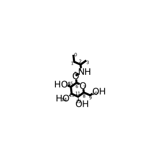 CCC(C)NOC1OC(CO)[C@H](O)[C@H](O)C1O